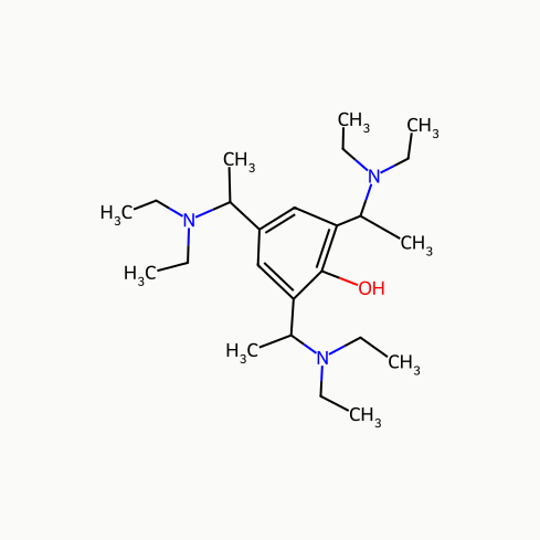 CCN(CC)C(C)c1cc(C(C)N(CC)CC)c(O)c(C(C)N(CC)CC)c1